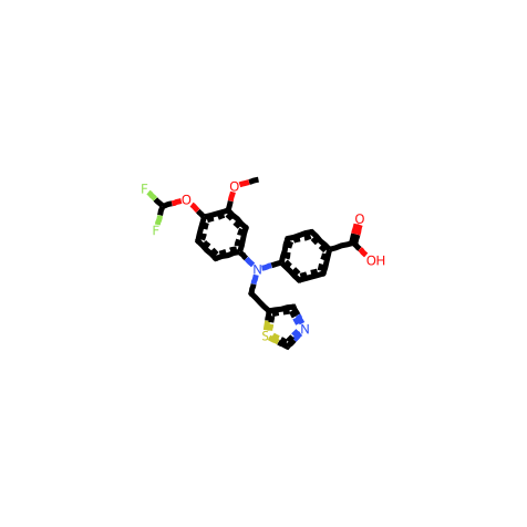 COc1cc(N(Cc2cncs2)c2ccc(C(=O)O)cc2)ccc1OC(F)F